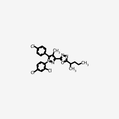 CCCC(C)c1nnc(-c2nn(-c3ccc(Cl)cc3Cl)c(-c3ccc(Cl)cc3)c2C)o1